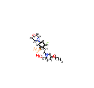 CO[C@@H]1CC[C@H](CO)N(CCc2c(F)cc(N3CCOCC3)cc2P)C1